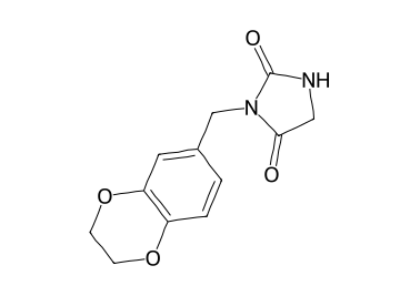 O=C1CNC(=O)N1Cc1ccc2c(c1)OCCO2